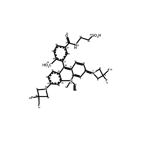 C=C[Si]1(C)C2=CC(=[N+]3CC(F)(F)C3)C=CC2=C(c2cc(C(=O)NCCS(=O)(=O)O)ccc2C(=O)O)c2ccc(N3CC(F)(F)C3)cc21